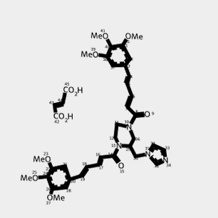 COc1cc(/C=C/C=C/C(=O)N2CCN(C(=O)/C=C/C=C/c3cc(OC)c(OC)c(OC)c3)C(Cn3ccnc3)C2)cc(OC)c1OC.O=C(O)/C=C/C(=O)O